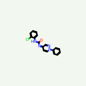 O=C(/N=c1/ccn(-c2ccccc2)nc1)Nc1ccccc1Cl